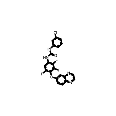 O=C(Nc1cccc(Cl)c1)Nc1cc(F)c(Oc2ccc3nccnc3c2)c(F)c1F